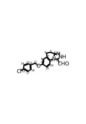 O=CC1NN=C2CCc3cc(OCc4ccc(Cl)cc4)ccc3N21